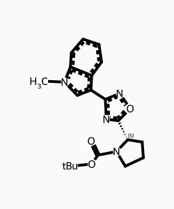 Cn1cc(-c2noc([C@@H]3CCCN3C(=O)OC(C)(C)C)n2)c2ccccc21